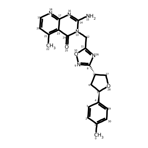 Cc1ccc([C@H]2C[C@H](c3noc(Cn4c(N)nc5nccc(C)c5c4=O)n3)CO2)cc1